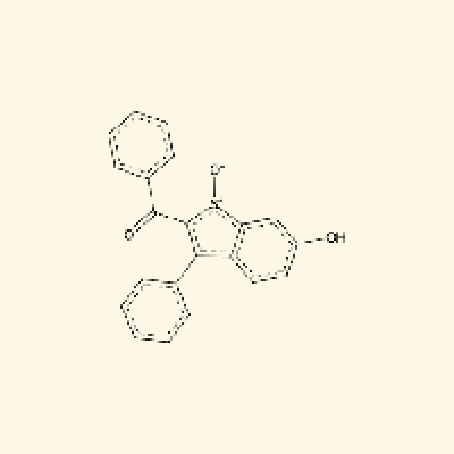 O=C(c1ccccc1)c1c(-c2ccccc2)c2ccc(O)cc2[s+]1[O-]